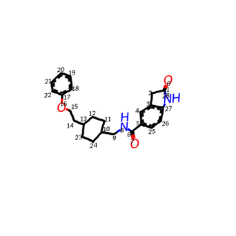 O=C1Cc2cc(C(=O)NCC3CCC(CCOc4ccccc4)CC3)ccc2N1